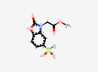 COC(=O)Cn1c(=O)oc2ccc(S(=O)(=O)Cl)cc21